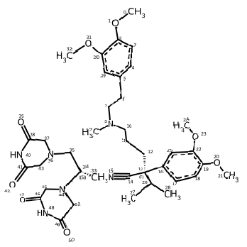 COc1ccc(CCN(C)CCC[C@](C#N)(c2ccc(OC)c(OC)c2)C(C)C)cc1OC.C[C@@H](CN1CC(=O)NC(=O)C1)N1CC(=O)NC(=O)C1